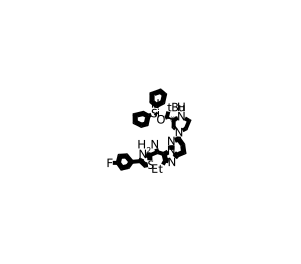 CCc1nc2ccc(N3CCN[C@H](C(O[SiH](c4ccccc4)c4ccccc4)C(C)(C)C)C3)nn2c1C(N)c1nc(-c2ccc(F)cc2)cs1